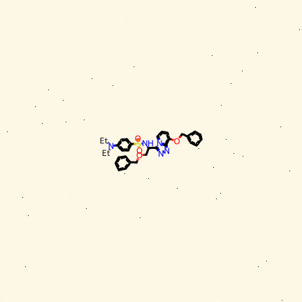 CCN(CC)c1ccc(S(=O)(=O)NC(COCc2ccccc2)c2nnc3c(OCc4ccccc4)cccn23)cc1